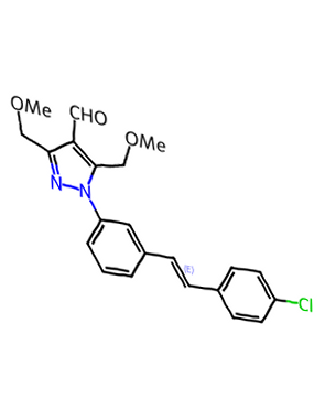 COCc1nn(-c2cccc(/C=C/c3ccc(Cl)cc3)c2)c(COC)c1C=O